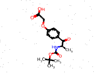 CC(NC(=O)OC(C)(C)C)C(=O)c1ccc(OCC(=O)O)cc1